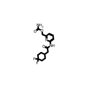 NC(=O)OCc1cccc(NC(=O)CC2CCC(F)(F)CC2)n1